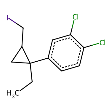 CCC1(c2ccc(Cl)c(Cl)c2)CC1CI